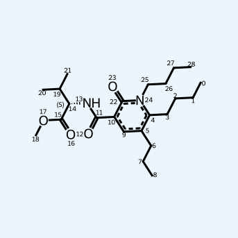 CCCCc1c(CCC)cc(C(=O)N[C@H](C(=O)OC)C(C)C)c(=O)n1CCCC